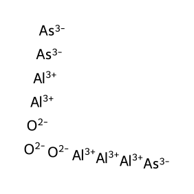 [Al+3].[Al+3].[Al+3].[Al+3].[Al+3].[As-3].[As-3].[As-3].[O-2].[O-2].[O-2]